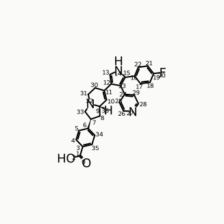 O=C(O)c1ccc([C@@H]2C[C@H]3C=C(c4c[nH]c(-c5ccc(F)cc5)c4-c4ccncc4)CCN3C2)cc1